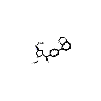 CO/N=C1/C[C@@H](CO)N(C(=O)c2ccc(-c3cccc4c3OCO4)cc2)C1